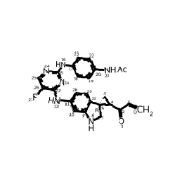 C=CC(=O)C1C[C@@]12CNc1cc(Nc3nc(Nc4ccc(NC(C)=O)cc4)ncc3F)ccc12